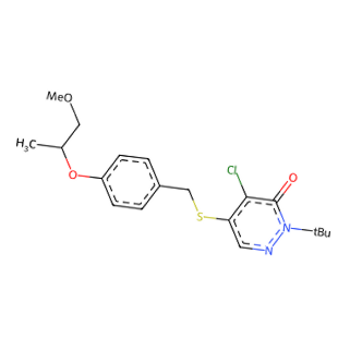 COCC(C)Oc1ccc(CSc2cnn(C(C)(C)C)c(=O)c2Cl)cc1